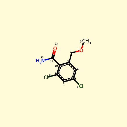 COCc1cc(Cl)cc(Cl)c1C(N)=O